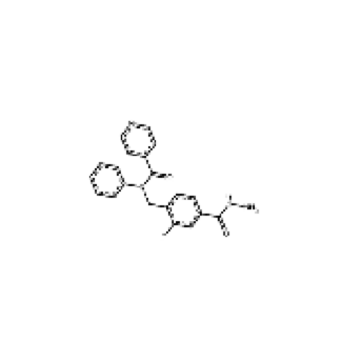 NNC(=O)c1ccc(CN(C(=O)c2ccncc2)c2ccccc2)c(F)c1